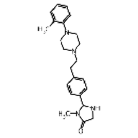 Cc1ccccc1N1CCN(CCc2ccc(C3NCC(=O)N3C)cc2)CC1